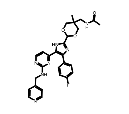 CC(=O)NCC1(C)COC(c2nc(-c3ccc(F)cc3)c(-c3ccnc(NCc4ccncc4)n3)[nH]2)OC1